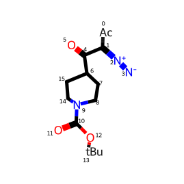 CC(=O)C(=[N+]=[N-])C(=O)C1CCN(C(=O)OC(C)(C)C)CC1